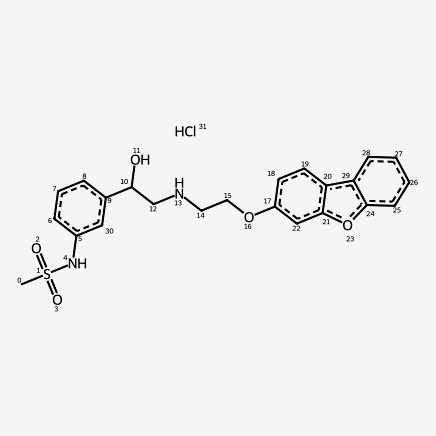 CS(=O)(=O)Nc1cccc(C(O)CNCCOc2ccc3c(c2)oc2ccccc23)c1.Cl